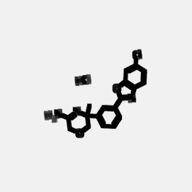 CC1(c2cccc(-c3nc4ccc(Cl)cc4o3)c2)COCC(N)=N1.Cl